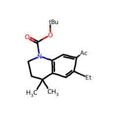 CCc1cc2c(cc1C(C)=O)N(C(=O)OC(C)(C)C)CCC2(C)C